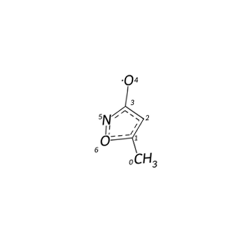 Cc1cc([O])no1